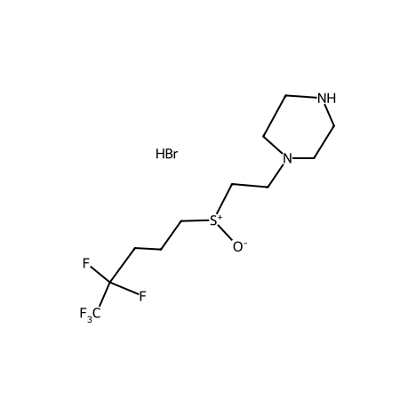 Br.[O-][S+](CCCC(F)(F)C(F)(F)F)CCN1CCNCC1